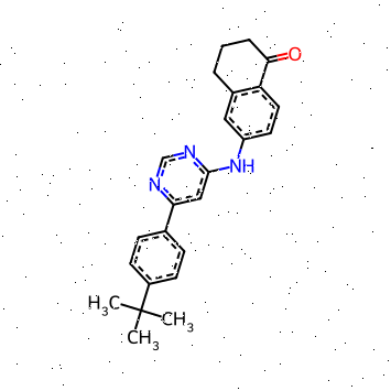 CC(C)(C)c1ccc(-c2cc(Nc3ccc4c(c3)CCCC4=O)ncn2)cc1